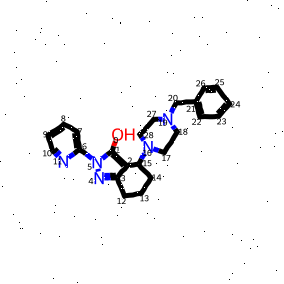 Oc1c2c(nn1-c1ccccn1)CCCC2N1CCN(Cc2ccccc2)CC1